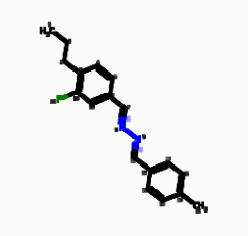 CCCc1ccc(/C=N/N=C/c2ccc(C)cc2)cc1F